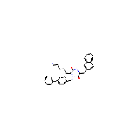 NCCCCCC1C(=O)NC(Cc2ccc3ccccc3c2)C(=O)N1Cc1ccc(-c2ccccc2)cc1